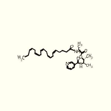 CC/C=C\C/C=C\C/C=C\C/C=C\C/C=C\CCCC(=O)N[C@@H](C)C(=O)O[C@H](C)[C@@H](C)NC(=O)c1cccnc1